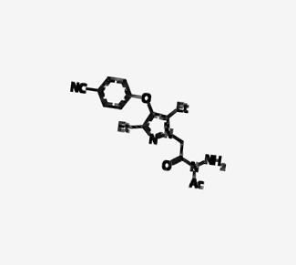 CCc1nn(CC(=O)N(N)C(C)=O)c(CC)c1Oc1ccc(C#N)cc1